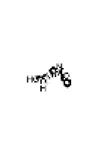 OC[C@@H](O)CNc1ccc2ncc(-c3cc4ccccc4o3)n2n1